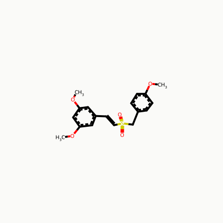 COc1ccc(CS(=O)(=O)C=Cc2cc(OC)cc(OC)c2)cc1